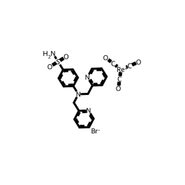 NS(=O)(=O)c1ccc(N(Cc2ccccn2)Cc2ccccn2)cc1.O=[C]=[Re+](=[C]=O)=[C]=O.[Br-]